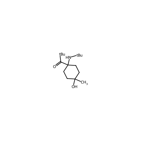 CC1(O)CCC(NC(C)(C)C)(C(=O)C(C)(C)C)CC1